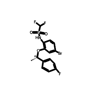 C[C@H](Oc1cc(Br)ccc1NS(=O)(=O)C(F)F)c1ccc(F)cc1